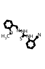 COc1ccccc1/C=N/NC(=S)Nc1ccccc1C#N